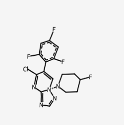 Fc1cc(F)c(C2=C[N+]3(N4CCC(F)CC4)N=CN=C3N=C2Cl)c(F)c1